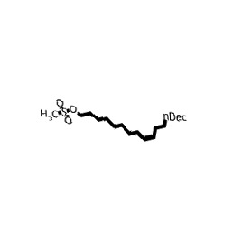 CCCCCCCCCCCC/C=C\CCCCCCCCOS(C)(=O)=O